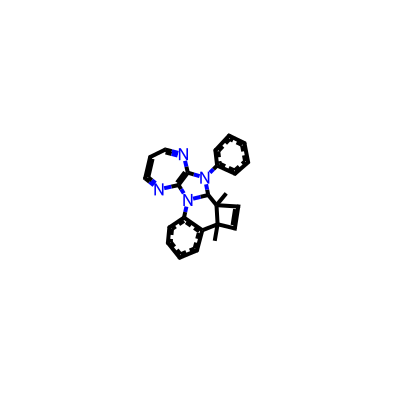 CC12C=CC1(C)C1N(c3ccccc3)C3=C(N=C=CC=N3)N1c1ccccc12